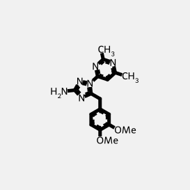 COc1ccc(Cc2nc(N)nn2-c2cc(C)nc(C)n2)cc1OC